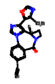 C#Cc1ccc2c(c1)C(=O)N1CC[C@H]1c1c(-c3ocnc3C(=O)OCC)ncn1-2